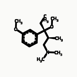 CC[C@](OC)(c1cccc(OC)c1)[C@@H](C)CN(C)C